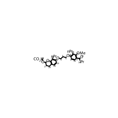 CCCc1c(OCCCOc2ccc(C(=O)C(C)C)c(OC)c2CCC)ccc2c1OC(OC(=O)O)CC2